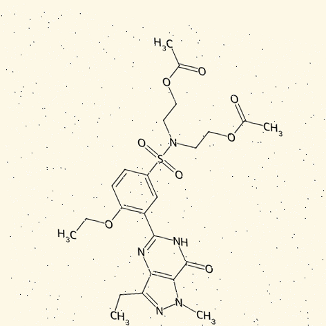 CCOc1ccc(S(=O)(=O)N(CCOC(C)=O)CCOC(C)=O)cc1-c1nc2c(CC)nn(C)c2c(=O)[nH]1